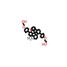 CC1C2=C(C=CC1c1ccc(OCCO)cc1)C1(C)CC=CC=C1C21c2ccccc2-c2ccc(-c3ccc(OCCO)cc3)cc21